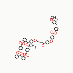 COc1ccc(Cc2ccc(OC(=O)c3ccc(Oc4ccc(C(=O)CCCCOc5ccc(Cc6ccccc6OC(=O)c6ccc(C(=O)Oc7ccccc7Cc7ccccc7OC(=O)c7ccc(C(C)=O)cc7)cc6)cc5)cc4)cc3)cc2)cc1